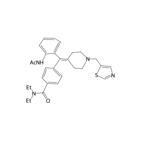 CCN(CC)C(=O)c1ccc(C(=C2CCN(Cc3cncs3)CC2)c2ccccc2NC(C)=O)cc1